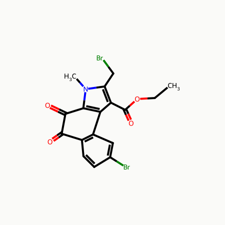 CCOC(=O)c1c2c(n(C)c1CBr)C(=O)C(=O)c1ccc(Br)cc1-2